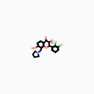 O=C1c2ccc(O)c(CN3CCCC3)c2OC(c2cccc(Cl)c2Cl)C1O